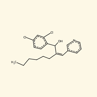 CCCCCCC(=Cc1cccnc1)C(O)c1ccc(Cl)cc1Cl